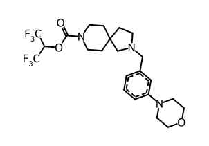 O=C(OC(C(F)(F)F)C(F)(F)F)N1CCC2(CCN(Cc3cccc(N4CCOCC4)c3)C2)CC1